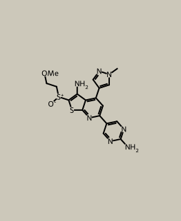 COCC[S+]([O-])c1sc2nc(-c3cnc(N)nc3)cc(-c3cnn(C)c3)c2c1N